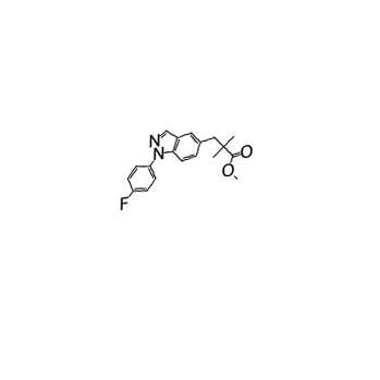 COC(=O)C(C)(C)Cc1ccc2c(cnn2-c2ccc(F)cc2)c1